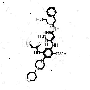 C=CC(=O)Nc1cc(N/C(=C/C(=N)N[C@H](CCO)Cc2ccccc2)NN)c(OC)cc1N1CCN(C2CCOCC2)CC1